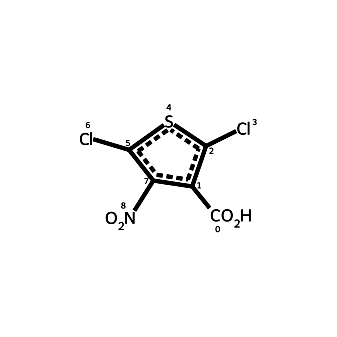 O=C(O)c1c(Cl)sc(Cl)c1[N+](=O)[O-]